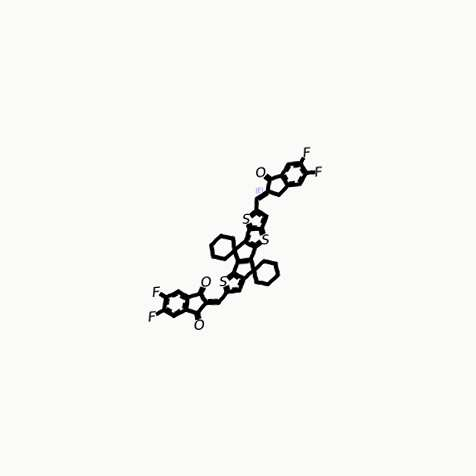 O=C1/C(=C/c2cc3sc4c(c3s2)C2(CCCCC2)C2=C4C3(CCCCC3)c3cc(C=C4C(=O)c5cc(F)c(F)cc5C4=O)sc32)Cc2cc(F)c(F)cc21